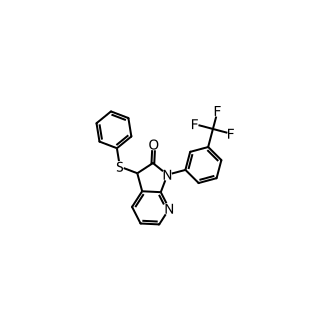 O=C1C(Sc2ccccc2)c2cccnc2N1c1cccc(C(F)(F)F)c1